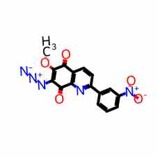 COC1=C(N=[N+]=[N-])C(=O)c2nc(-c3cccc([N+](=O)[O-])c3)ccc2C1=O